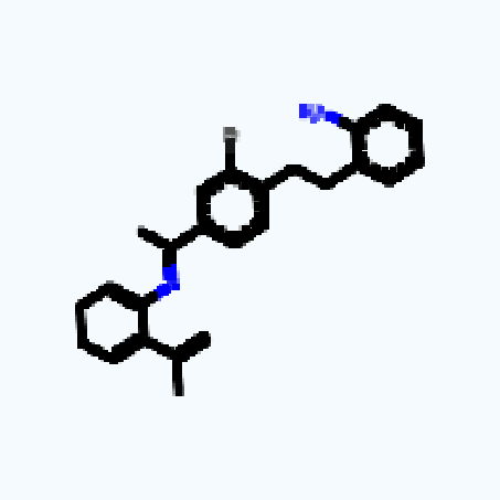 C=C(C)C1=CCCC=C1/N=C(\C)c1ccc(CCc2ccccc2N)c(CC)c1